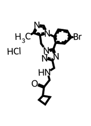 Cc1ncn2c1Cn1nc(CNCC(=O)C3CCC3)nc1-c1cc(Br)ccc1-2.Cl